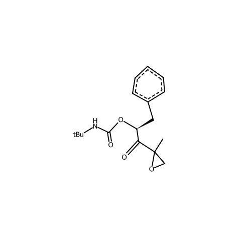 CC(C)(C)NC(=O)O[C@@H](Cc1ccccc1)C(=O)C1(C)CO1